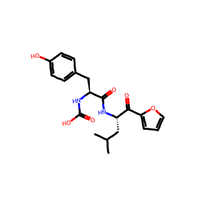 CC(C)C[C@H](NC(=O)[C@H](Cc1ccc(O)cc1)NC(=O)O)C(=O)c1ccco1